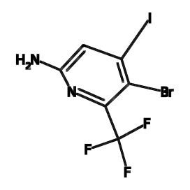 Nc1cc(I)c(Br)c(C(F)(F)F)n1